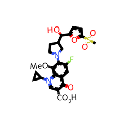 COc1c(N2CCC(C(O)c3ccc(S(C)(=O)=O)o3)C2)c(F)cc2c(=O)c(C(=O)O)cn(C3CC3)c12